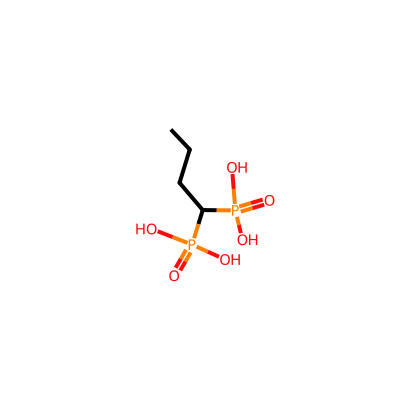 CCCC(P(=O)(O)O)P(=O)(O)O